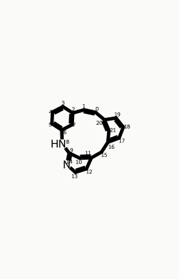 C1=C\c2cccc(c2)Nc2cc(ccn2)Cc2cccc/1c2